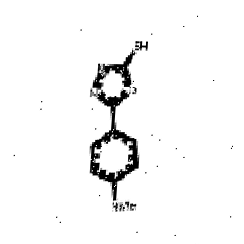 CNc1ccc(-c2nnc(S)o2)cc1